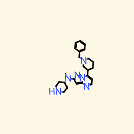 CN(c1cc2nccc(C3CCCN(Cc4ccccc4)C3)n2n1)C1CCNCC1